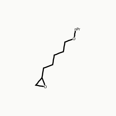 CCCOCCCCCC1CO1